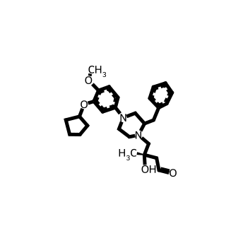 COc1ccc(N2CCN(C[C@@](C)(O)CC=O)C(Cc3ccccc3)C2)cc1OC1CCCC1